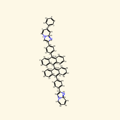 c1ccc(-c2ccn3cc(-c4ccc(-c5c6ccccc6c(-c6c7ccccc7c(-c7ccc(-c8cn9ccccc9n8)cc7)c7ccccc67)c6ccccc56)cc4)nc3c2)cc1